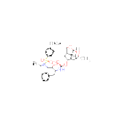 COc1ccc(S(=O)(=O)N(CC(C)C)C[C@@H](O)[C@H](Cc2ccccc2)NC(=O)O[C@H]2CC3CO[C@H]4O[C@H](C)CC2[C@@H]34)cc1